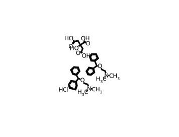 CN(C)CCOC(c1ccccc1)c1ccccc1.CN(C)CCOC(c1ccccc1)c1ccccc1.Cl.O=C(O)CC(O)(CC(=O)O)C(=O)O